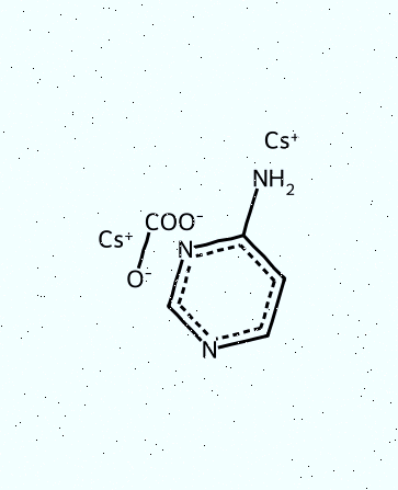 Nc1ccncn1.O=C([O-])[O-].[Cs+].[Cs+]